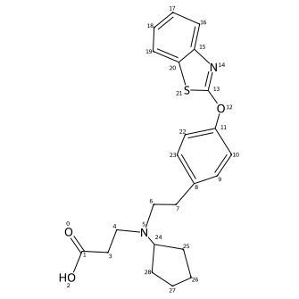 O=C(O)CCN(CCc1ccc(Oc2nc3ccccc3s2)cc1)C1CCCC1